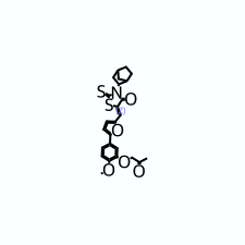 COc1ccc(-c2ccc(/C=C3\SC(=S)N(C4CC5CCC4C5)C3=O)o2)cc1OCC(C)=O